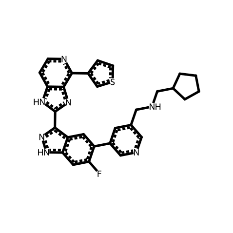 Fc1cc2[nH]nc(-c3nc4c(-c5ccsc5)nccc4[nH]3)c2cc1-c1cncc(CNCC2CCCC2)c1